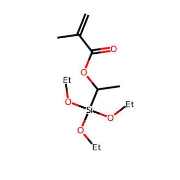 C=C(C)C(=O)OC(C)[Si](OCC)(OCC)OCC